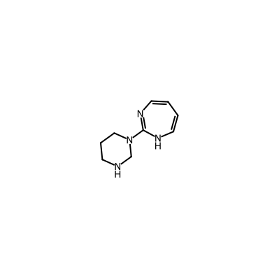 C1=CN=C(N2CCCNC2)NC=C1